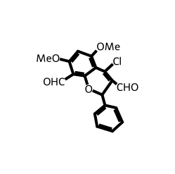 COc1cc(OC)c2c(c1C=O)OC(c1ccccc1)C(C=O)=C2Cl